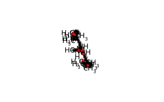 CC(ON1C(C)(C)CC(CCCCNc2nc(NCCO)nc(NCCCCC3CC(C)(C)N(OC(C)c4ccccc4)C(C)(C)C3)n2)CC1(C)C)c1ccccc1